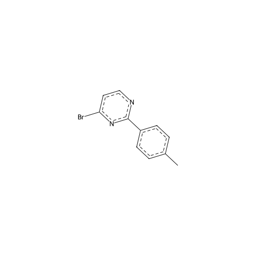 Cc1ccc(-c2nccc(Br)n2)cc1